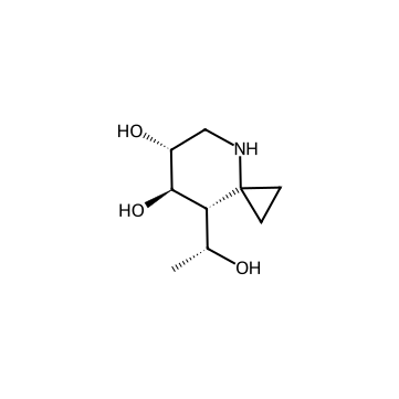 C[C@@H](O)[C@@H]1[C@@H](O)[C@H](O)CNC12CC2